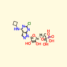 C[C@@](CO)(OC[C@H]1O[C@@H](n2ncc3c(NC4CCC4)nc(Cl)nc32)[C@H](O)[C@@H]1O)P(=O)(O)O